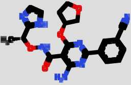 C[C@@H](ONC(=O)c1c(N)nc(-c2cccc(C#N)c2)nc1O[C@H]1CCOC1)c1ncc[nH]1